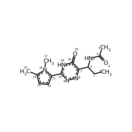 CCC(NC(C)=O)c1nnc(-c2ccc(C)n2C)[nH]c1=O